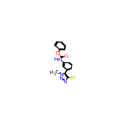 Cn1nnc(S)c1-c1cccc(NC(=O)Oc2ccccc2)c1